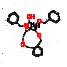 OC1OC2COCc3ccccc3CO[C@@H](C1OCc1ccccc1)[C@H]2OCc1ccccc1